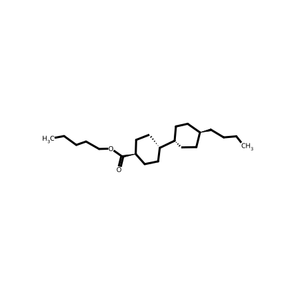 CCCCCOC(=O)[C@H]1CC[C@H]([C@H]2CC[C@H](CCCC)CC2)CC1